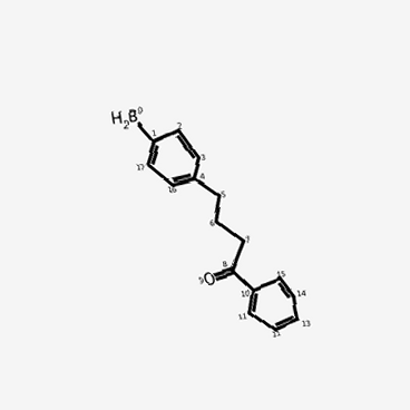 Bc1ccc(CCCC(=O)c2ccccc2)cc1